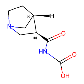 O=C(O)NC(=O)[C@H]1CN2CC[C@H]1C2